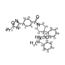 CC(C)c1nc(-c2ccc(C(=O)N3CCC(C(=O)N[C@@H](C)c4ccccc4)(c4ccccc4)CC3)cc2)no1